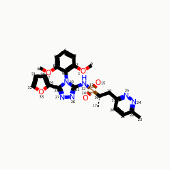 COc1cccc(OC)c1-n1c(NS(=O)(=O)[C@@H](C)Cc2ccc(C)nn2)nnc1-c1ccco1